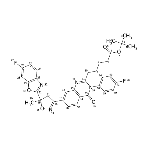 CC(C)(C)OC(=O)CCCCc1nc2cc(C3=NOC(C)(c4nc5ccc(F)cc5o4)C3)ccc2c(=O)n1-c1ccc(F)cc1